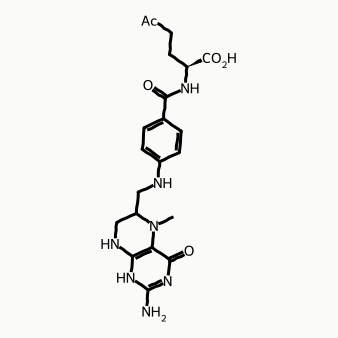 CC(=O)CC[C@H](NC(=O)c1ccc(NCC2CNc3[nH]c(N)nc(=O)c3N2C)cc1)C(=O)O